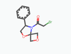 O=C(CBr)N1C(c2ccccc2)COC12COC2